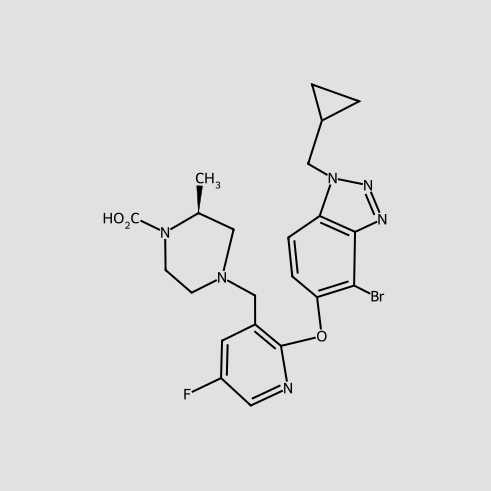 C[C@H]1CN(Cc2cc(F)cnc2Oc2ccc3c(nnn3CC3CC3)c2Br)CCN1C(=O)O